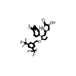 O=C1N[C@H]([C@@H]2CC[C@H](OCc3cc(C(F)(F)F)cc(C(F)(F)F)c3)[C@H]2c2ccc(F)cc2)C[C@H]1O